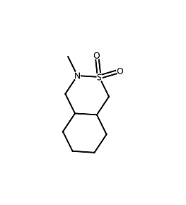 CN1CC2CCCCC2CS1(=O)=O